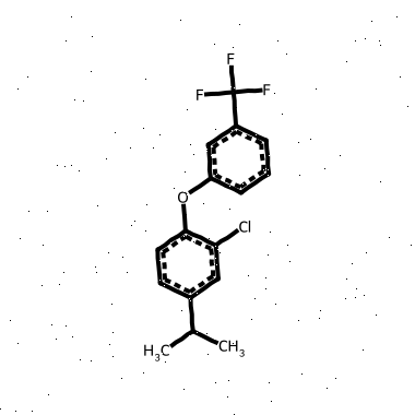 CC(C)c1ccc(Oc2cccc(C(F)(F)F)c2)c(Cl)c1